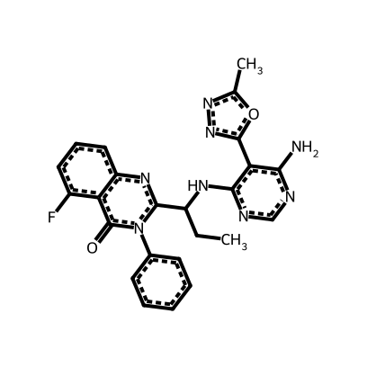 CCC(Nc1ncnc(N)c1-c1nnc(C)o1)c1nc2cccc(F)c2c(=O)n1-c1ccccc1